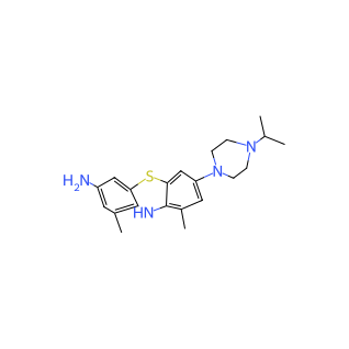 Cc1cc(N)cc2c1Nc1c(C)cc(N3CCN(C(C)C)CC3)cc1S2